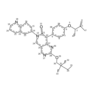 C=C(C)C(F)Oc1ccc(-c2c(=O)n(-c3ccc4ncccc4c3)cc3cnc(OCC(F)(F)CC)nc23)cc1